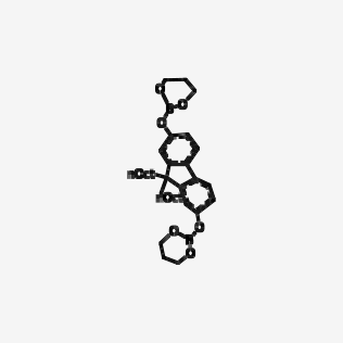 CCCCCCCCC1(CCCCCCCC)c2cc(OB3OCCCO3)ccc2-c2ccc(OB3OCCCO3)cc21